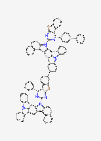 c1ccc(-c2ccc(-c3nc(-n4c5ccc6ccccc6c5c5cc6c7cc(-c8ccc9c(c8)sc8nc(-n%10c%11ccc%12ccccc%12c%11c%11cc%12c%13ccccc%13n%13c%14ccccc%14c(c%11%10)c%12%13)nc(-c%10ccccc%10)c89)ccc7n7c8ccccc8c(c54)c67)nc4sc5ccccc5c34)cc2)cc1